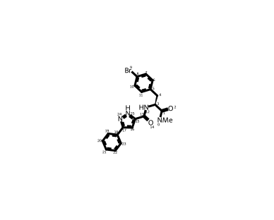 CNC(=O)[C@H](Cc1ccc(Br)cc1)NC(=O)c1cc(-c2ccccc2)n[nH]1